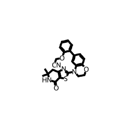 CC1(C)Cc2nc(N3CCOc4ccc(-c5ccccc5OCC#N)cc43)sc2C(=O)N1